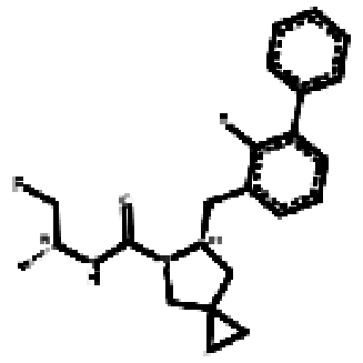 C[C@H](CF)NC(=O)N1CC2(CC2)C[C@@H]1Cc1cccc(-c2ccccc2)c1F